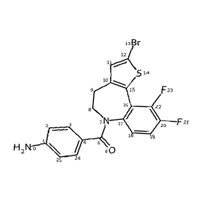 Nc1ccc(C(=O)N2CCc3cc(Br)sc3-c3c2ccc(F)c3F)cc1